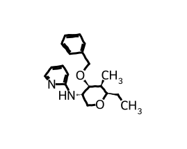 CC[C@H]1OC[C@H](Nc2ccccn2)[C@@H](OCc2ccccc2)[C@H]1C